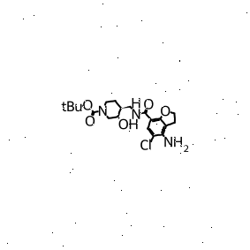 CC(C)(C)OC(=O)N1CC[C@@H](CNC(=O)c2cc(Cl)c(N)c3c2OCC3)[C@@H](O)C1